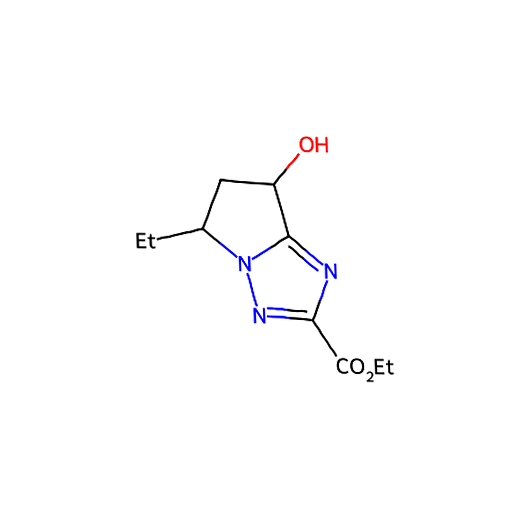 CCOC(=O)c1nc2n(n1)C(CC)CC2O